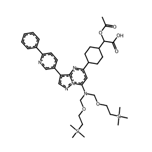 CC(=O)OC(C(=O)O)C1CCC(c2cc(N(COCC[Si](C)(C)C)COCC[Si](C)(C)C)n3ncc(-c4ccc(-c5ccccc5)nc4)c3n2)CC1